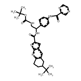 CC(C)(C)OC(=O)NCC(NC(=O)c1cc2cc3c(nc2s1)CCC(C(C)(C)C)C3)c1ccc(NC(=O)c2cnccn2)cc1